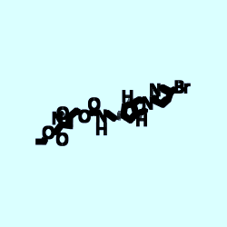 CCOC(=O)c1cc(COC(=O)NCC[C@@H]2C[C@@H]3CN(c4ccc(Br)cn4)C[C@@H]3C2)on1